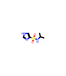 CC(C)NS(=O)(=O)c1c[nH]cn1